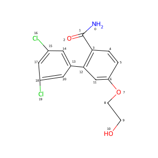 NC(=O)c1ccc(OCCO)cc1-c1cc(Cl)cc(Cl)c1